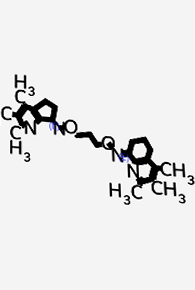 Cc1nc2c(c(C)c1C)CCC/C2=N\OCCCO/N=C1\CCc2c1nc(C)c(C)c2C